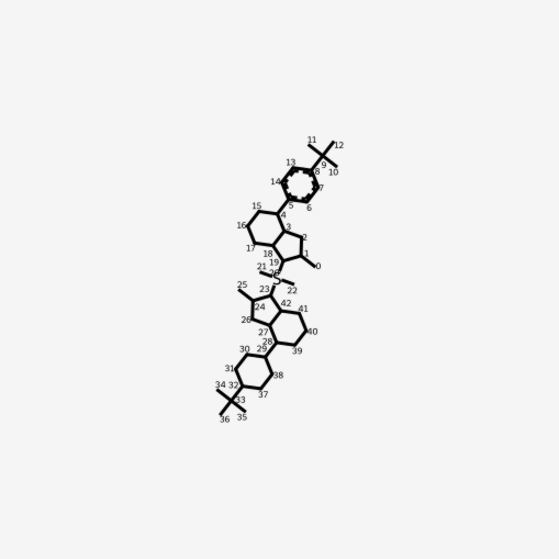 CC1CC2C(c3ccc(C(C)(C)C)cc3)CCCC2C1S(C)(C)C1C(C)CC2C(C3CCC(C(C)(C)C)CC3)CCCC21